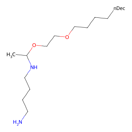 CCCCCCCCCCCCCCOCCOC(C)NCCCCN